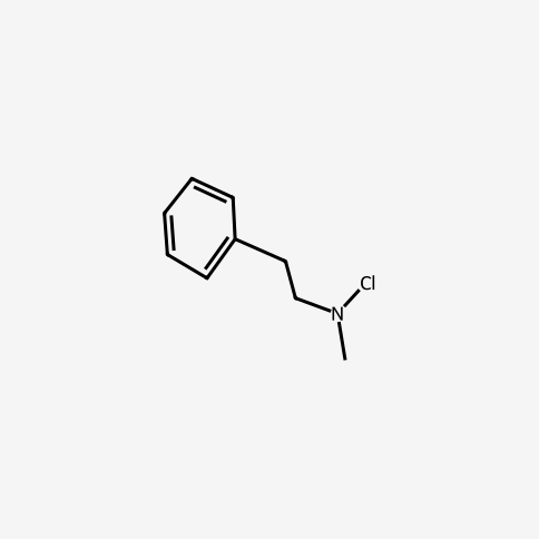 CN(Cl)CCc1ccccc1